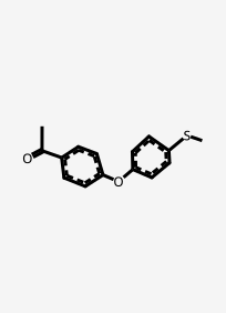 CSc1ccc(Oc2ccc(C(C)=O)cc2)cc1